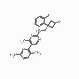 Cc1cnc(N)nc1-c1cnc(NC[C@]2(c3ncccc3F)C[C@H](F)C2)nc1C